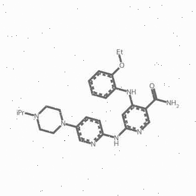 CCOc1ccccc1Nc1cc(Nc2ccc(N3CCN(C(C)C)CC3)cn2)ncc1C(N)=O